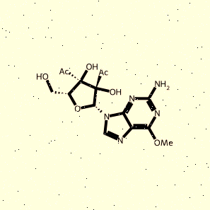 COc1nc(N)nc2c1ncn2[C@@H]1O[C@H](CO)[C@](O)(C(C)=O)[C@@]1(O)C(C)=O